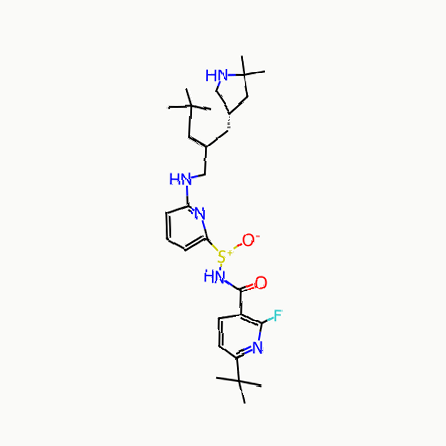 CC(C)(C)CC(CNc1cccc([S+]([O-])NC(=O)c2ccc(C(C)(C)C)nc2F)n1)C[C@@H]1CNC(C)(C)C1